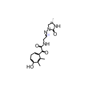 CC1=C(C)C(C(=O)C(=O)NC/C=N/N2C[C@H](C)NC2=O)=CCC=C1O